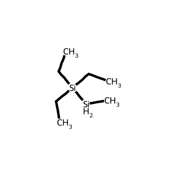 CC[Si](CC)(CC)[SiH2]C